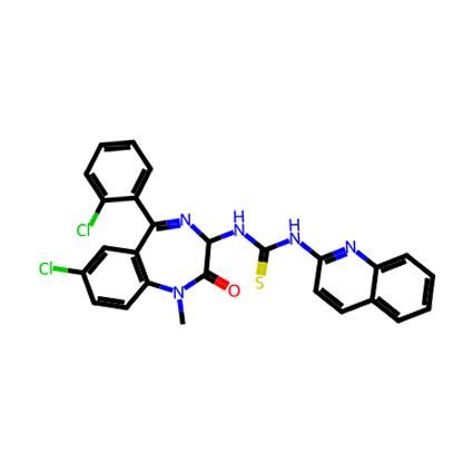 CN1C(=O)C(NC(=S)Nc2ccc3ccccc3n2)N=C(c2ccccc2Cl)c2cc(Cl)ccc21